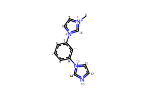 C[n+]1ccn(-c2cccc(-n3ccnc3)c2)c1